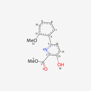 COC(=O)c1nc(-c2ccccc2OC)ccc1O